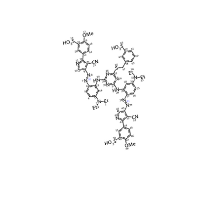 CCN(CC)c1ccc(/N=N/c2snc(-c3ccc(OC)c(S(=O)(=O)O)c3)c2C#N)c(Nc2nc(Nc3cc(N(CC)CC)ccc3/N=N/c3snc(-c4ccc(OC)c(S(=O)(=O)O)c4)c3C#N)nc(SCc3cccc(S(=O)(=O)O)c3)n2)c1